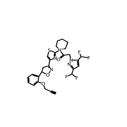 C#CCOc1ccccc1C1CC(c2csc([N+]3(C(=O)Cn4nc(C(F)F)cc4C(F)F)CCCCC3)n2)=NO1